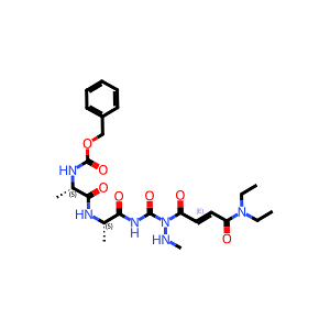 CCN(CC)C(=O)/C=C/C(=O)N(NC)C(=O)NC(=O)[C@H](C)NC(=O)[C@H](C)NC(=O)OCc1ccccc1